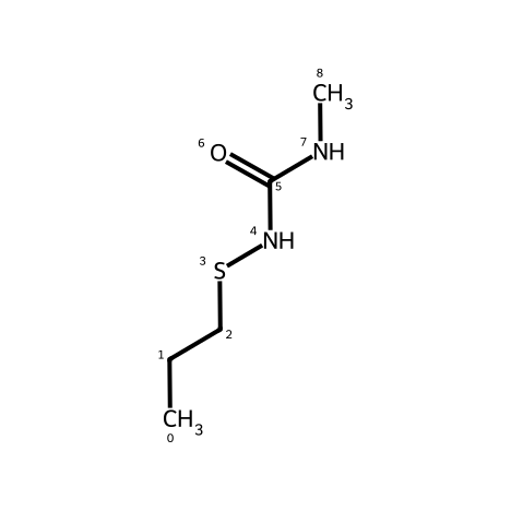 CCCSNC(=O)NC